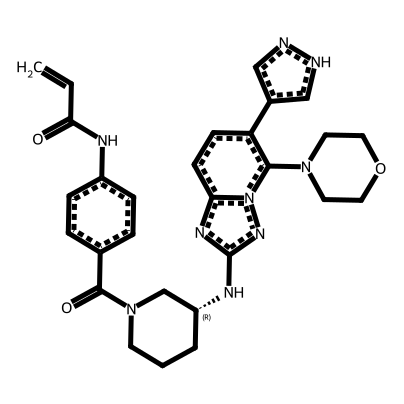 C=CC(=O)Nc1ccc(C(=O)N2CCC[C@@H](Nc3nc4ccc(-c5cn[nH]c5)c(N5CCOCC5)n4n3)C2)cc1